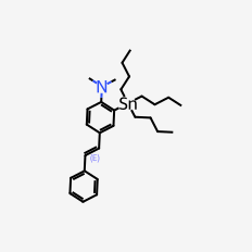 CCC[CH2][Sn]([CH2]CCC)([CH2]CCC)[c]1cc(/C=C/c2ccccc2)ccc1N(C)C